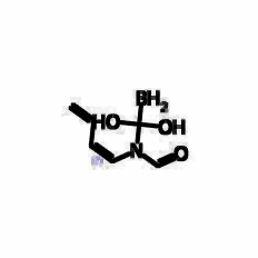 BC(O)(O)N(C=O)/C=C\C=C